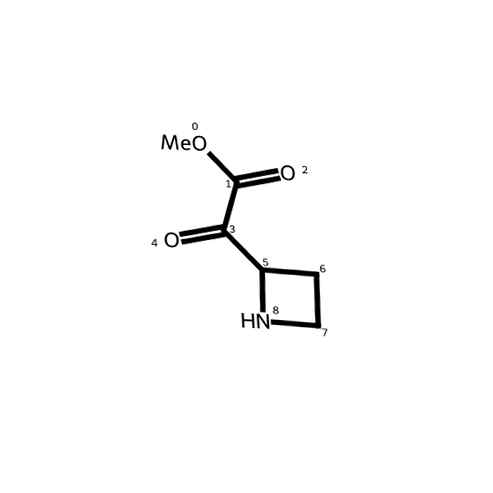 COC(=O)C(=O)C1CCN1